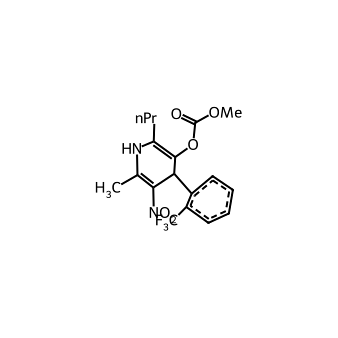 CCCC1=C(OC(=O)OC)C(c2ccccc2C(F)(F)F)C([N+](=O)[O-])=C(C)N1